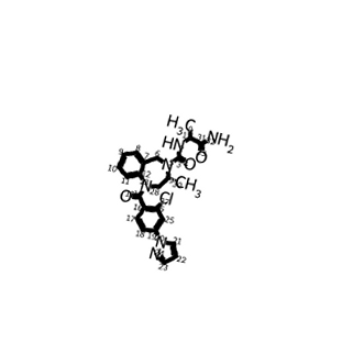 CC(NC(=O)N1Cc2ccccc2N(C(=O)c2ccc(-n3cccn3)cc2Cl)C[C@H]1C)C(N)=O